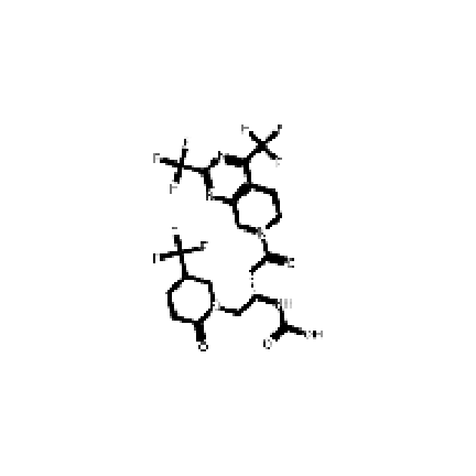 O=C(O)N[C@@H](CC(=O)N1CCc2c(nc(C(F)(F)F)nc2C(F)(F)F)C1)CN1CC(C(F)(F)F)CCC1=O